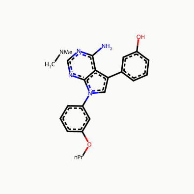 CCCOc1cccc(-n2cc(-c3cccc(O)c3)c3c(N)ncnc32)c1.CNC